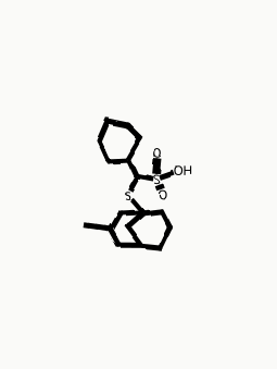 CC1CC2CCCC(SC(C3CCCCC3)S(=O)(=O)O)(C1)C2